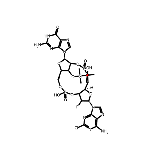 CC(C)(C)[Si](C)(C)OC1C2OP(=O)(O)OC[C@H]3O[C@@H](n4cnc5c(N)nc(Cl)nc54)C(F)C3OP(=O)(O)OC[C@H]1O[C@H]2n1cnc2c(=O)[nH]c(N)nc21